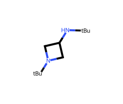 CC(C)(C)NC1CN(C(C)(C)C)C1